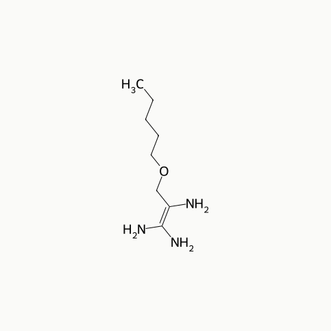 CCCCCOCC(N)=C(N)N